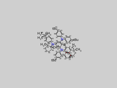 CC(C)C1CCC(C)(C)c2cc3c(cc21)N(c1ccc(C(C)(C)C)cc1-c1ccccc1)c1cc(N2c4ccc([Si](C)(C)C)cc4C4(C)CCCCC24C)cc2c1B3c1cc(C(C)(C)C)ccc1N2c1ccc(C(C)(C)C)cc1